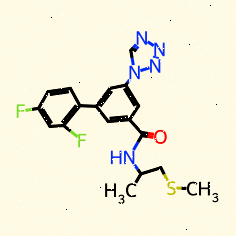 CSCC(C)NC(=O)c1cc(-c2ccc(F)cc2F)cc(-n2cnnn2)c1